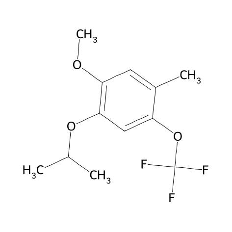 COc1cc(C)c(OC(F)(F)F)cc1OC(C)C